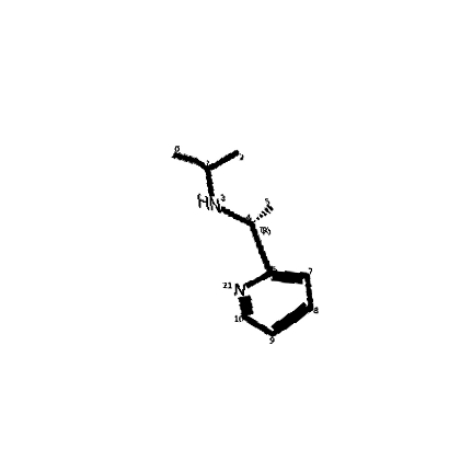 CC(C)N[C@H](C)c1ccccn1